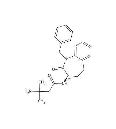 CC(C)(N)CC(=O)N[C@@H]1CCc2ccccc2N(Cc2ccccc2)C1=O